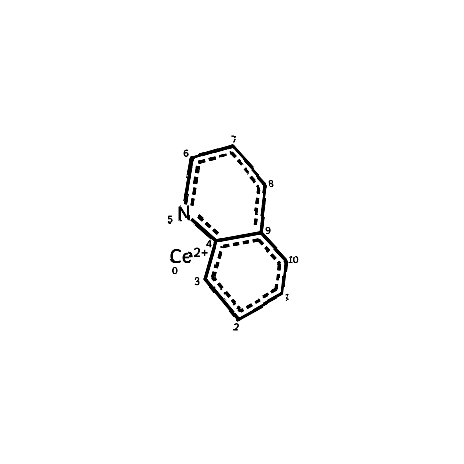 [Ce+2].c1ccc2ncccc2c1